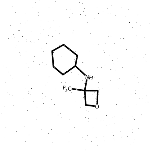 FC(F)(F)C1(NC2CCCCC2)COC1